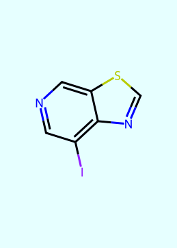 Ic1cncc2scnc12